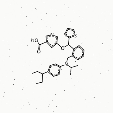 CCC(CC)c1ccc(N(Cc2ccccc2C(Oc2cncc(C(=O)O)c2)c2cccs2)C(C)C)cc1